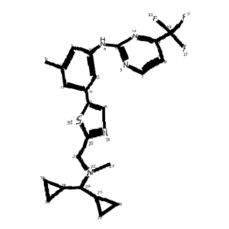 Cc1cc(Nc2nccc(C(F)(F)F)n2)cc(-c2cnc(CN(C)C(C3CC3)C3CC3)s2)c1